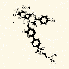 CN(C)CCNS(=O)(=O)c1ccc(-c2ccc(CN(C(=O)C(N)c3ccc(O)cc3)[C@@H]3C(=O)N4[C@@H]3SC(C)(C)[C@@H]4C(=O)O)c(=O)[nH]2)cc1